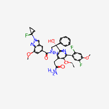 CCOc1c(CC(N)=O)cc([C@@](O)(CNC(=O)c2cc(OC)c3nn(C4(F)CC4)cc3c2)c2ccccc2)nc1-c1cc(F)c(OC)cc1F